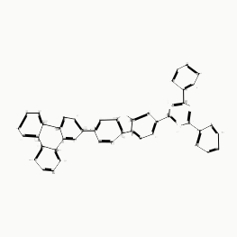 c1ccc(-c2nc(-c3ccccc3)nc(-c3ccc4c(c3)oc3cc(-c5ccc6c7ccccc7c7ccccc7c6c5)ccc34)n2)cc1